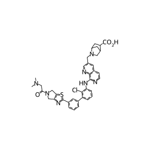 CN(C)CC(=O)N1Cc2nc(-c3cccc(-c4cccc(Nc5nccc6cc(CN7CC8CC7CC8C(=O)O)cnc56)c4Cl)c3)sc2C1